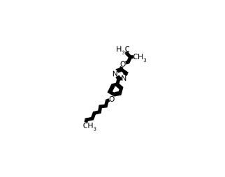 CCCCCCCCOc1ccc(-c2ncc(OCC(C)CC)cn2)cc1